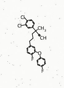 C#CC(C)(CCCc1ccc(F)c(Oc2ccc(F)cc2)c1)c1ccc(Cl)c(Cl)c1